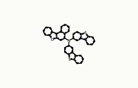 c1ccc2c(c1)oc1cc(N(c3ccc4sc5ccccc5c4c3)c3ccc4sc5ccccc5c4c3)c3ccccc3c12